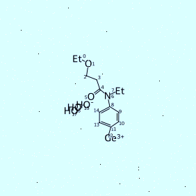 CCOCCC(=O)N(CC)c1cc[c]([Ge+3])cc1.[OH-].[OH-].[OH-]